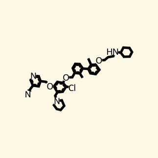 Cc1c(COc2cc(OCc3cncc(C#N)c3)c(CN3CCCCC3)cc2Cl)cccc1-c1cccc(OCCCNC2CCCCC2)c1C